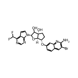 Nc1nc2cc(O[C@H]3CC[C@]4(O)C(O)[C@H](n5ccc6c(C(F)F)ncnc65)O[C@H]34)ccc2cc1Br